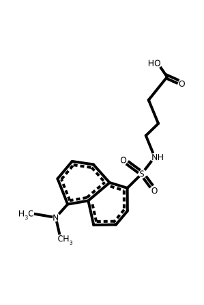 CN(C)c1cccc2c(S(=O)(=O)NCCCC(=O)O)cccc12